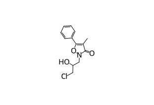 Cc1c(-c2ccccc2)on(CC(O)CCl)c1=O